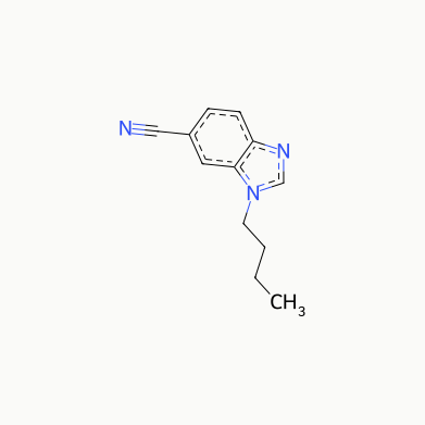 CCCCn1cnc2ccc(C#N)cc21